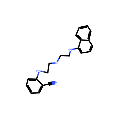 N#Cc1ccccc1NCCNCCNc1cccc2ccccc12